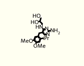 COc1cc(Cc2cnc(N)nc2NCC(O)CO)c(C(C)C)cc1OC